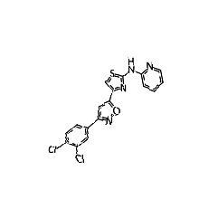 Clc1ccc(-c2cc(-c3csc(Nc4ccccn4)n3)on2)cc1Cl